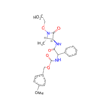 COc1ccc(COC(=O)NC(C(=O)N[C@@H]2C(=O)N(OCC(=O)O)[C@H]2C)c2ccccc2)cc1